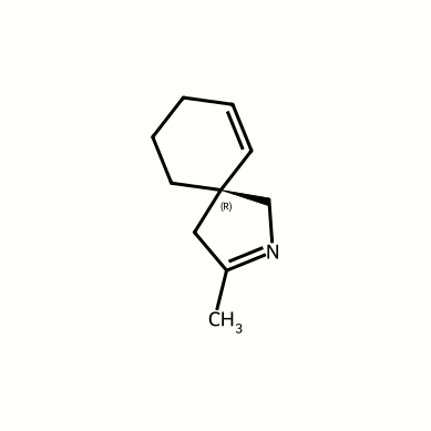 CC1=NC[C@@]2(C=CCCC2)C1